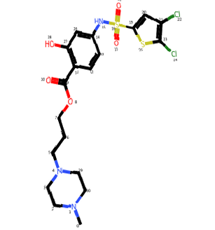 CN1CCN(CCCOC(=O)c2ccc(NS(=O)(=O)c3cc(Cl)c(Cl)s3)cc2O)CC1